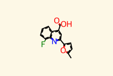 Cc1ccc(-c2cc(C(=O)O)c3cccc(F)c3n2)o1